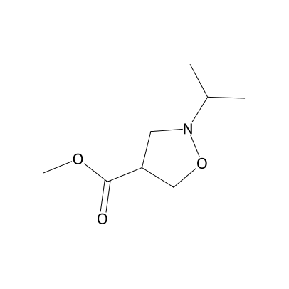 COC(=O)C1CON(C(C)C)C1